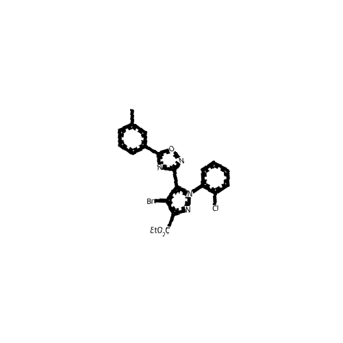 CCOC(=O)c1nn(-c2ccccc2Cl)c(-c2noc(-c3cccc(C)c3)n2)c1Br